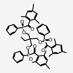 CCC(COP(=O)(C(=O)c1c(C)cc(C)cc1C)c1ccccc1)(COP(=O)(C(=O)c1c(C)cc(C)cc1C)c1ccccc1)COP(=O)(C(=O)c1c(C)cc(C)cc1C)c1ccccc1